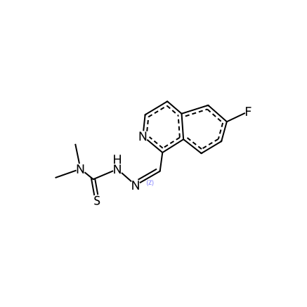 CN(C)C(=S)N/N=C\c1nccc2cc(F)ccc12